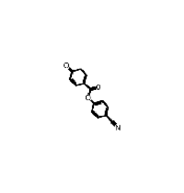 N#Cc1ccc(OC(=O)C2=CCC(=O)C=C2)cc1